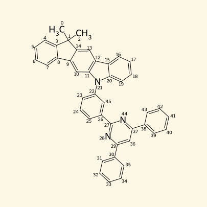 CC1(C)c2ccccc2-c2cc3c(cc21)c1ccccc1n3-c1cccc(-c2nc(-c3ccccc3)cc(-c3ccccc3)n2)c1